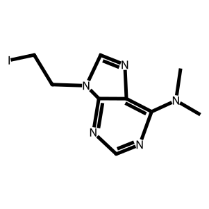 CN(C)c1ncnc2c1ncn2CCI